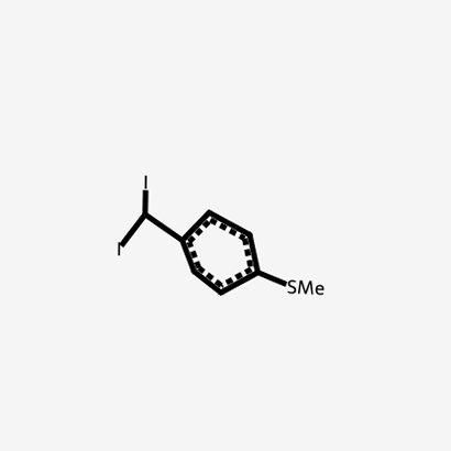 CSc1ccc(C(I)I)cc1